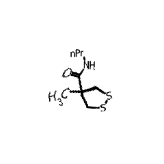 CCCNC(=O)C1(C)CSSC1